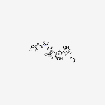 CCCCC(C)(C)[C@H](O)/C=C/[C@@H]1[C@@H](CC/C=C\CCC(=O)OC)[C@H](Cl)C[C@H]1O